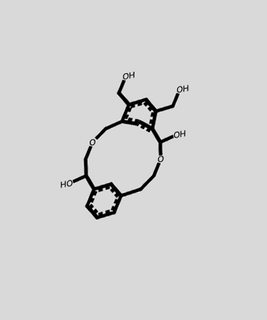 OCc1cc(CO)c2cc1COCC(O)c1cccc(c1)CCOC2O